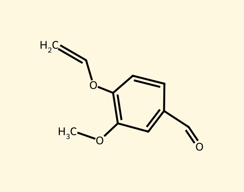 C=COc1ccc(C=O)cc1OC